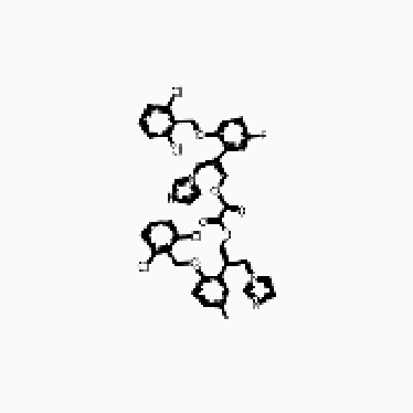 O=C(OC=C(Cn1ccnc1)c1cc(F)ccc1OCc1c(Cl)cccc1Cl)C(=O)OC=C(Cn1ccnc1)c1cc(F)ccc1OCc1c(Cl)cccc1Cl